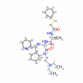 CCN(CC)CCN1C(=O)C(NC(=O)[C@H](C)NC(=O)CSc2ccccc2)N=C(c2ccccn2)c2ccccc21